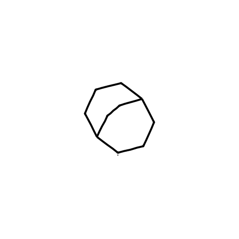 [CH]1CCC2CCCC1CC2